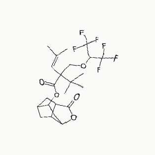 CC(C)=CC(COC(C(F)(F)F)C(F)(F)F)(C(=O)OC1C2CC3C(=O)OC1C3C2)C(C)(C)C